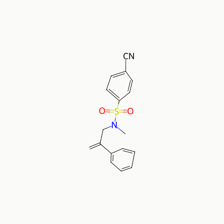 C=C(CN(C)S(=O)(=O)c1ccc(C#N)cc1)c1ccccc1